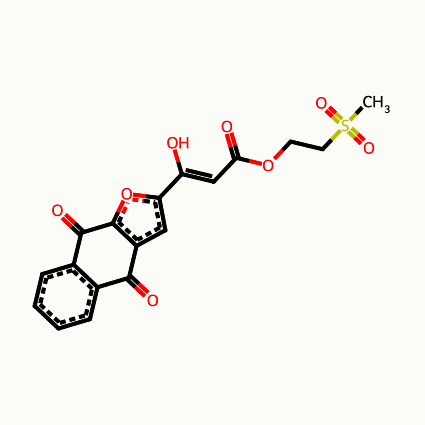 CS(=O)(=O)CCOC(=O)/C=C(\O)c1cc2c(o1)C(=O)c1ccccc1C2=O